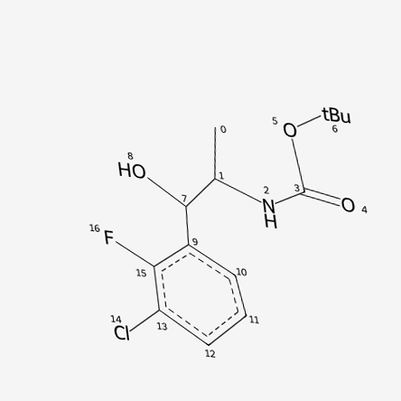 CC(NC(=O)OC(C)(C)C)C(O)c1cccc(Cl)c1F